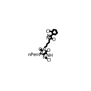 CCCCCn1c(=O)n(CCCCC2=NN=C(c3ccccc3Cl)C2=O)c(=O)c2[nH]c(Cl)nc21